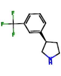 FC(F)(F)c1cccc([C@H]2CCNC2)c1